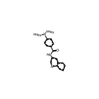 CCCCCCN(CCCCCC)c1ccc(C(=O)Nc2cnc3ccccc3c2)cc1